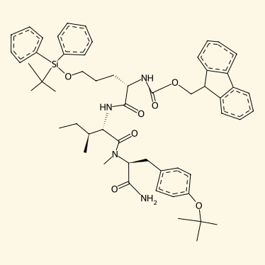 CC[C@H](C)[C@H](NC(=O)[C@H](CCCO[Si](c1ccccc1)(c1ccccc1)C(C)(C)C)NC(=O)OCC1c2ccccc2-c2ccccc21)C(=O)N(C)[C@@H](Cc1ccc(OC(C)(C)C)cc1)C(N)=O